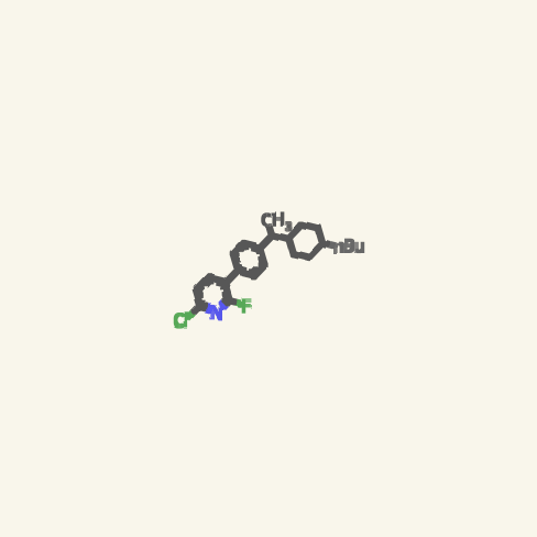 CCCCC1CCC(C(C)c2ccc(-c3ccc(Cl)nc3F)cc2)CC1